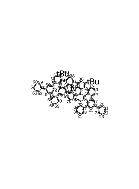 CC(C)(C)c1cc(-c2ccccc2-c2ccccc2-c2cc(-c3ccccc3)cc(-c3ccccc3)c2)c2c(c1)c1cc(C(C)(C)C)cc(-c3ccccc3-c3ccccc3-c3cc(-c4ccccc4)cc(-c4ccccc4)c3)c1n2-c1ccccc1